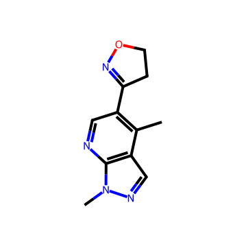 Cc1c(C2=NOCC2)cnc2c1cnn2C